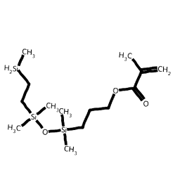 C=C(C)C(=O)OCCC[Si](C)(C)O[Si](C)(C)CC[SiH2]C